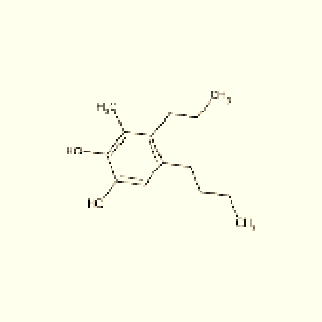 CCCCc1cc(O)c(O)c(C)c1CCC